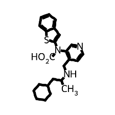 CC(CC1CCCCC1)NCc1ccncc1N(C(=O)O)c1cc2ccccc2s1